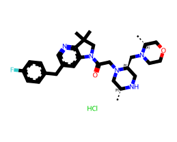 C[C@@H]1CN(CC(=O)N2CC(C)(C)c3ncc(Cc4ccc(F)cc4)cc32)[C@@H](CN2CCOC[C@H]2C)CN1.Cl